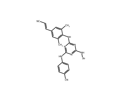 Cc1cc(C=CC#N)cc(C)c1Nc1nc(Nc2ccc(C#N)cc2)nc(NC(C)C)n1